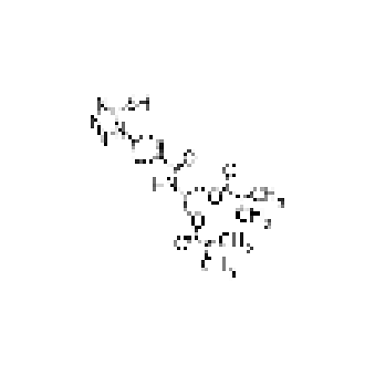 C=C(C)C(=O)OCC(COC(=O)C(=C)C)NC(=O)c1ccc(-n2nnnc2S)cc1